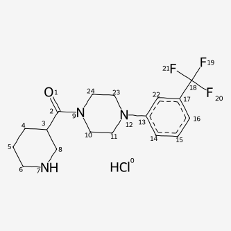 Cl.O=C(C1CCCNC1)N1CCN(c2cccc(C(F)(F)F)c2)CC1